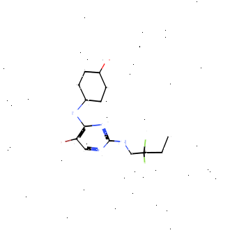 CCC(F)(F)CNc1ncc(Br)c(NC2CCC(O)CC2)n1